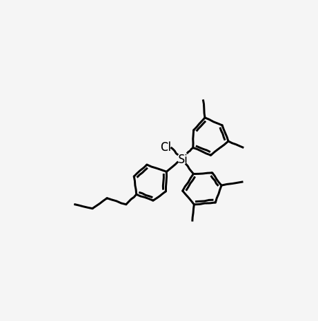 CCCCc1ccc([Si](Cl)(c2cc(C)cc(C)c2)c2cc(C)cc(C)c2)cc1